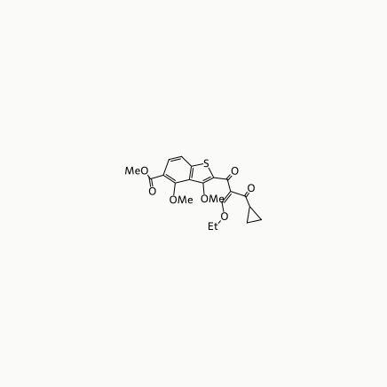 CCOC=C(C(=O)c1sc2ccc(C(=O)OC)c(OC)c2c1OC)C(=O)C1CC1